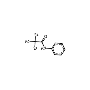 CCC(CC)(C(C)=O)C(=O)Nc1ccccc1